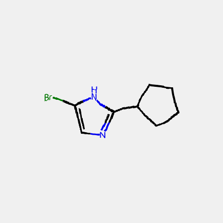 Brc1cnc(C2CCCC2)[nH]1